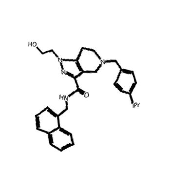 CC(C)c1ccc(CN2CCc3c(c(C(=O)NCc4cccc5ccccc45)nn3CCO)C2)cc1